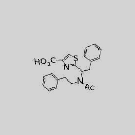 CC(=O)N(CCc1ccccc1)C(Cc1ccccc1)c1nc(C(=O)O)cs1